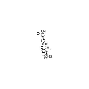 CCC(CC)NC(CC)c1ccc(OCCC2(O)CCN(c3ccc(C#N)c(Cl)c3)CC2)c(C)c1